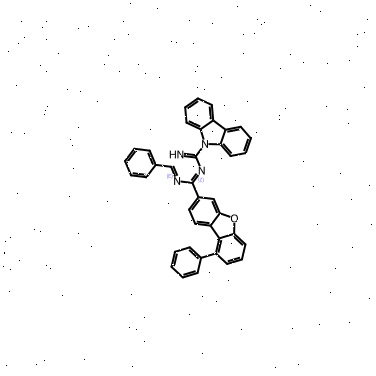 N=C(/N=C(\N=C\c1ccccc1)c1ccc2c(c1)oc1cccc(-c3ccccc3)c12)n1c2ccccc2c2ccccc21